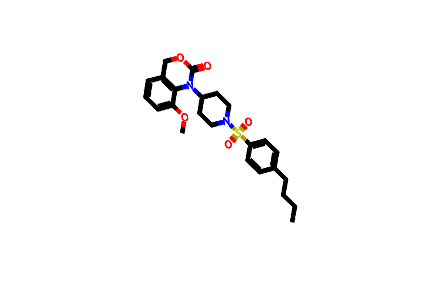 CCCCc1ccc(S(=O)(=O)N2CCC(N3C(=O)OCc4cccc(OC)c43)CC2)cc1